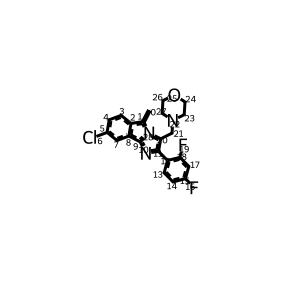 C=c1c2ccc(Cl)cc2c2nc(-c3ccc(F)cc3F)c(CN3CCOCC3)n12